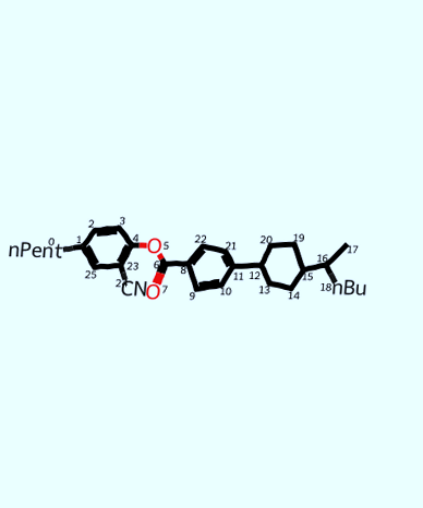 CCCCCc1ccc(OC(=O)c2ccc(C3CCC(C(C)CCCC)CC3)cc2)c(C#N)c1